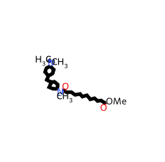 COC(=O)CCCCCCCCCCC(=O)N(C)C1CCC(CC2CCC(N(C)C)CC2)CC1